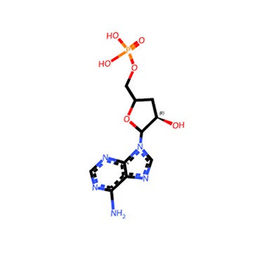 Nc1ncnc2c1ncn2C1OC(COP(=O)(O)O)C[C@H]1O